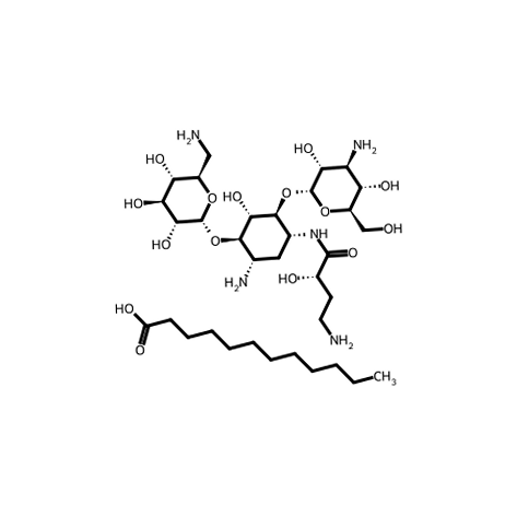 CCCCCCCCCCCC(=O)O.NCC[C@H](O)C(=O)N[C@@H]1C[C@H](N)[C@@H](O[C@H]2O[C@H](CN)[C@@H](O)[C@H](O)[C@H]2O)[C@H](O)[C@H]1O[C@H]1O[C@H](CO)[C@@H](O)[C@H](N)[C@H]1O